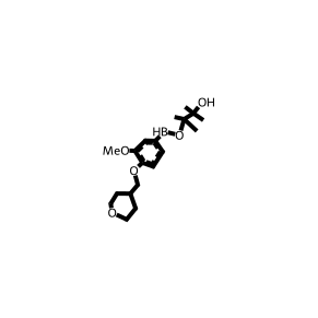 COc1cc(BOC(C)(C)C(C)(C)O)ccc1OCC1CCOCC1